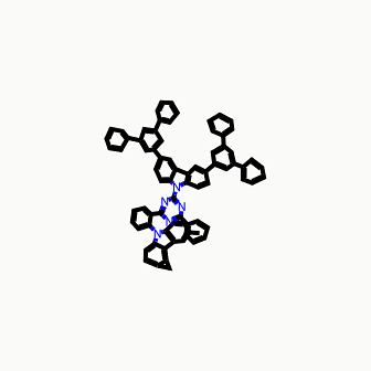 Cc1ccc2c(c1)c1c3c(ccc1n2-c1ccccc1-c1nc(-c2ccccc2)nc(-n2c4ccc(-c5cc(-c6ccccc6)cc(-c6ccccc6)c5)cc4c4cc(-c5cc(-c6ccccc6)cc(-c6ccccc6)c5)ccc42)n1)C3